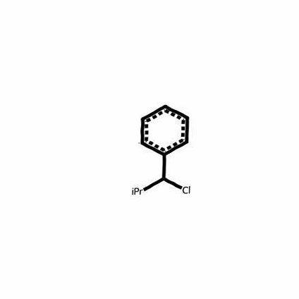 CC(C)C(Cl)c1[c]cccc1